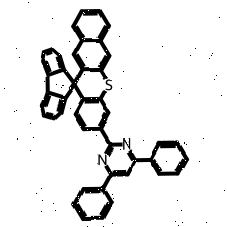 c1ccc(-c2cc(-c3ccccc3)nc(-c3ccc4c(c3)Sc3cc5ccccc5cc3C43c4ccccc4-c4ccccc43)n2)cc1